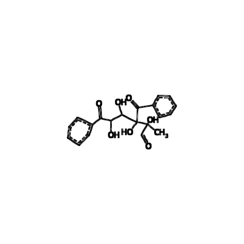 CC(O)(C=O)C(O)(C(=O)c1ccccc1)C(O)C(O)C(=O)c1ccccc1